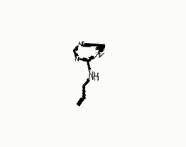 C=CCNc1ncncn1